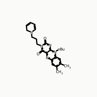 CCCCn1c2nc(=O)n(CCCN3C=CC=CC3)c(=O)c-2nc2cc(C)c(C)cc21